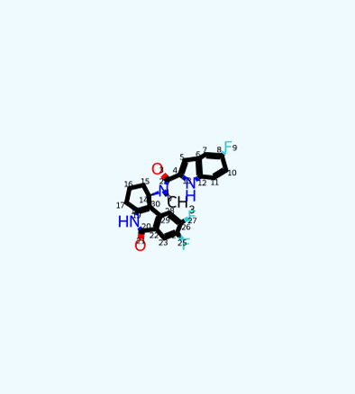 CN(C(=O)c1cc2cc(F)ccc2[nH]1)[C@@H]1CCCc2[nH]c(=O)c3cc(F)c(F)cc3c21